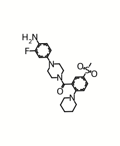 CS(=O)(=O)c1ccc(N2CCCCC2)c(C(=O)N2CCN(c3ccc(N)c(F)c3)CC2)c1